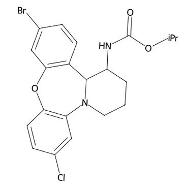 CC(C)OC(=O)NC1CCCN2c3cc(Cl)ccc3Oc3cc(Br)ccc3C12